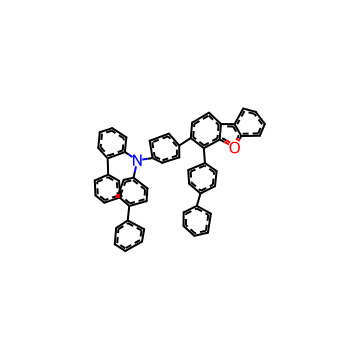 c1ccc(-c2ccc(-c3c(-c4ccc(N(c5ccc(-c6ccccc6)cc5)c5ccccc5-c5ccccc5)cc4)ccc4c3oc3ccccc34)cc2)cc1